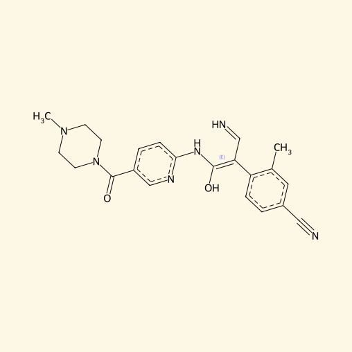 Cc1cc(C#N)ccc1/C(C=N)=C(\O)Nc1ccc(C(=O)N2CCN(C)CC2)cn1